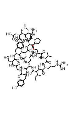 CC[C@H](C)[C@H](NC(=O)[C@H](CCCNC(=N)N)NC(=O)[C@@H](NC(=O)[C@@H](N)CCSC)C(C)C)C(=O)N[C@@H](CCCCN)C(=O)N[C@@H](Cc1ccc(O)cc1)C(=O)NCC(=O)N[C@@H](CO)C(=O)N[C@@H](Cc1ccc(O)cc1)C(=O)N[C@@H](CC(N)=O)C(=O)N[C@@H](CCCCN)C(=O)N1CCC[C@H]1C(=O)N[C@@H](CO)C(=O)N[C@@H](CC(=O)O)C(=O)O